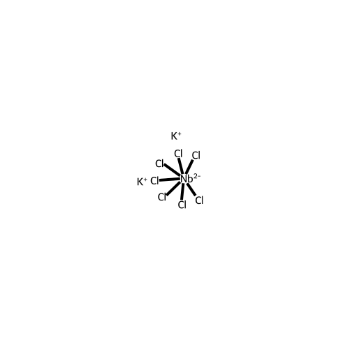 [Cl][Nb-2]([Cl])([Cl])([Cl])([Cl])([Cl])[Cl].[K+].[K+]